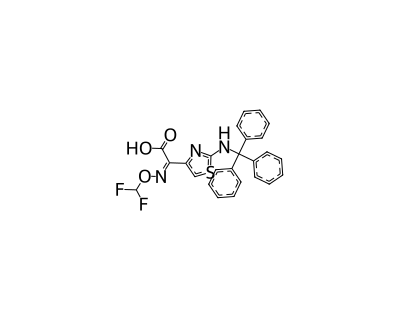 O=C(O)/C(=N\OC(F)F)c1csc(NC(c2ccccc2)(c2ccccc2)c2ccccc2)n1